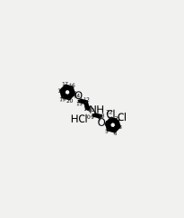 Cl.Clc1cccc(OCCNCCCOc2ccccc2)c1Cl